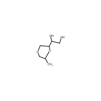 CC1COCC(C(O)CO)O1